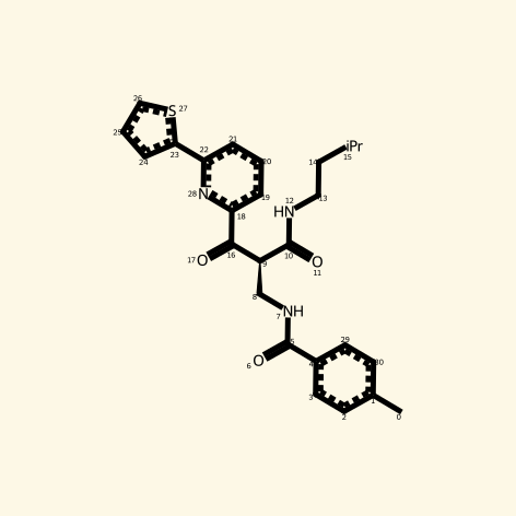 Cc1ccc(C(=O)NC[C@H](C(=O)N[CH]CC(C)C)C(=O)c2cccc(-c3cccs3)n2)cc1